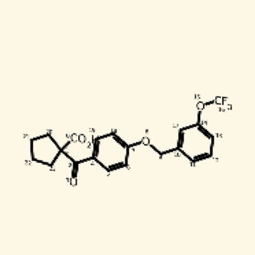 O=C(O)C1(C(=O)c2ccc(OCc3cccc(OC(F)(F)F)c3)cc2)CCCC1